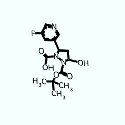 CC(C)(C)OC(=O)N1C(O)CC(c2cncc(F)c2)N1C(=O)O